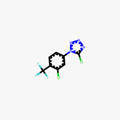 FC(F)(F)c1ccc(-n2nnnc2Cl)cc1Cl